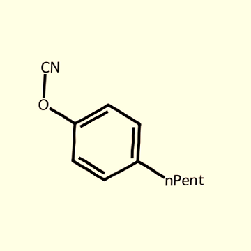 CCCCCc1ccc(OC#N)cc1